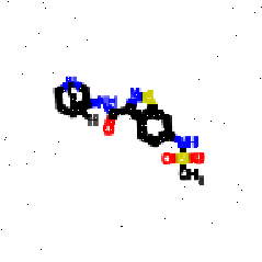 CS(=O)(=O)Nc1ccc2c(C(=O)N[C@H]3CN4CCC3CC4)nsc2c1